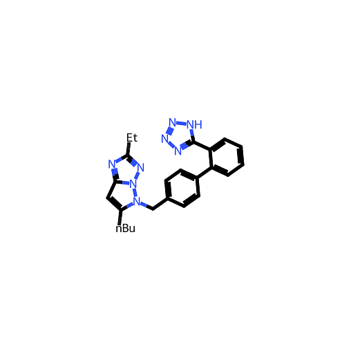 CCCCc1cc2nc(CC)nn2n1Cc1ccc(-c2ccccc2-c2nnn[nH]2)cc1